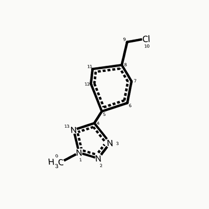 Cn1nnc(-c2ccc(CCl)cc2)n1